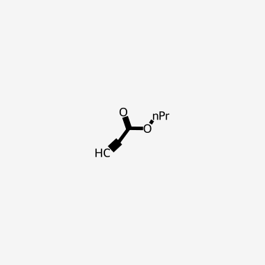 C#CC(=O)OCCC